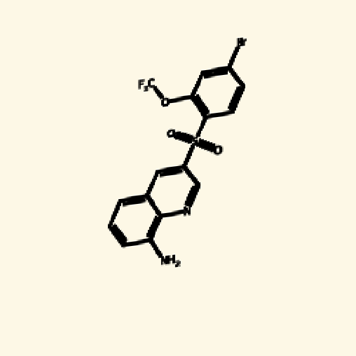 Nc1cccc2cc(S(=O)(=O)c3ccc(Br)cc3OC(F)(F)F)cnc12